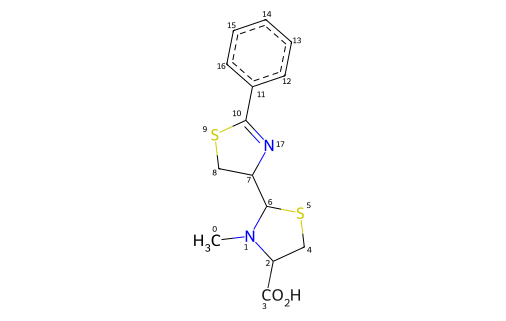 CN1C(C(=O)O)CSC1C1CSC(c2ccccc2)=N1